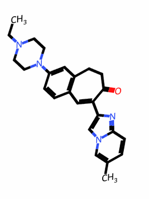 CCN1CCN(c2ccc3c(c2)CCC(=O)C(c2cn4cc(C)ccc4n2)=C3)CC1